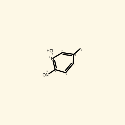 Cc1ccc(N=O)nc1.Cl